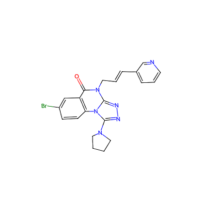 O=c1c2cc(Br)ccc2n2c(N3CCCC3)nnc2n1CC=Cc1cccnc1